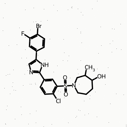 CC1CN(S(=O)(=O)c2cc(-c3ncc(-c4ccc(Br)c(F)c4)[nH]3)ccc2Cl)CCCC1O